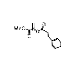 COC(=O)NOC(=O)CCc1ccccc1